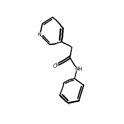 O=C(Cc1cccnc1)Nc1cc[c]cc1